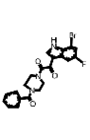 O=C(C(=O)N1CCN(C(=O)c2ccccc2)CC1)c1c[nH]c2c(Br)cc(F)cc12